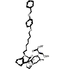 CO/C=C(/C(=O)OC)[C@H]1C[C@H]2N(CC[C@]23C(=O)N(CCCCCCCOc2ccc(OCc4ccccc4)cc2)c2ccccc23)C[C@@H]1C